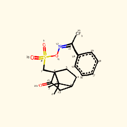 CC1(C)C2CCC1(CS(=O)(=O)ON=C(c1ccccc1)C(F)(F)F)C(=O)C2